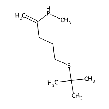 C=C(CCCSC(C)(C)C)PC